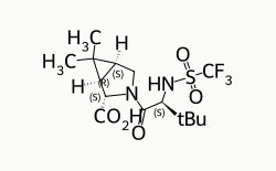 CC(C)(C)[C@H](NS(=O)(=O)C(F)(F)F)C(=O)N1C[C@H]2[C@@H]([C@H]1C(=O)O)C2(C)C